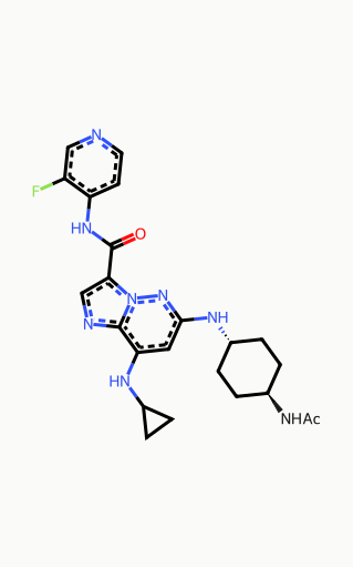 CC(=O)N[C@H]1CC[C@H](Nc2cc(NC3CC3)c3ncc(C(=O)Nc4ccncc4F)n3n2)CC1